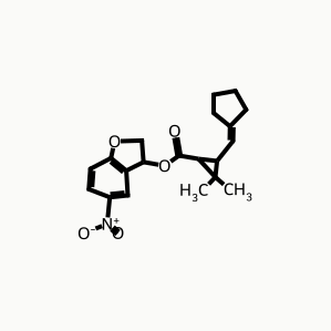 CC1(C)C(C=C2CCCC2)C1C(=O)OC1COc2ccc([N+](=O)[O-])cc21